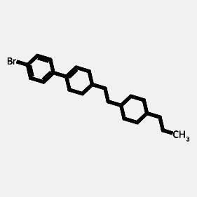 CCCC1CCC(CCC2CC=C(c3ccc(Br)cc3)CC2)CC1